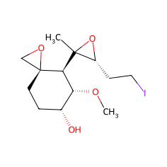 CO[C@@H]1[C@H](O)CC[C@]2(CO2)[C@H]1C1(C)O[C@@H]1CCI